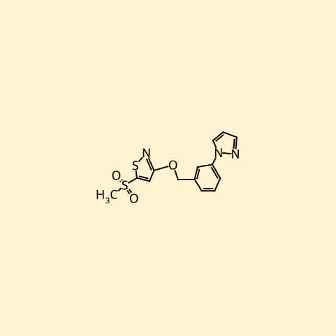 CS(=O)(=O)c1cc(OCc2cccc(-n3cccn3)c2)ns1